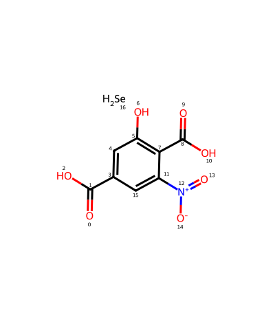 O=C(O)c1cc(O)c(C(=O)O)c([N+](=O)[O-])c1.[SeH2]